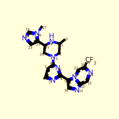 CC1CN(c2ccnc(-c3cnc4cnc(C(F)(F)F)cn34)n2)CC(c2cncn2C)N1